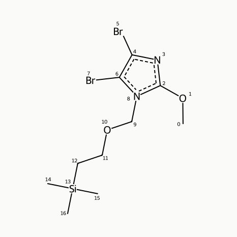 COc1nc(Br)c(Br)n1COCC[Si](C)(C)C